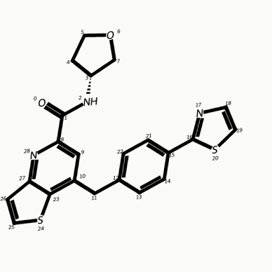 O=C(N[C@@H]1CCOC1)c1cc(Cc2ccc(-c3nccs3)cc2)c2sccc2n1